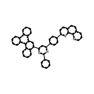 c1ccc(-c2nc(-c3ccc(-c4ccc5ccc6cccnc6c5n4)cc3)cc(-c3cc4c5ccccc5c5ccccc5c4c4ccccc34)n2)cc1